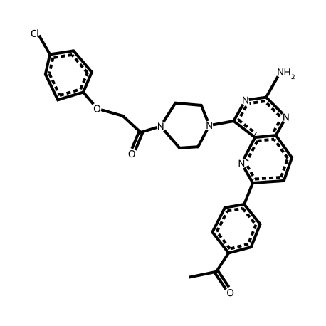 CC(=O)c1ccc(-c2ccc3nc(N)nc(N4CCN(C(=O)COc5ccc(Cl)cc5)CC4)c3n2)cc1